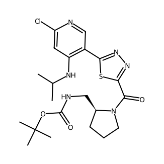 CC(C)Nc1cc(Cl)ncc1-c1nnc(C(=O)N2CCC[C@H]2CNC(=O)OC(C)(C)C)s1